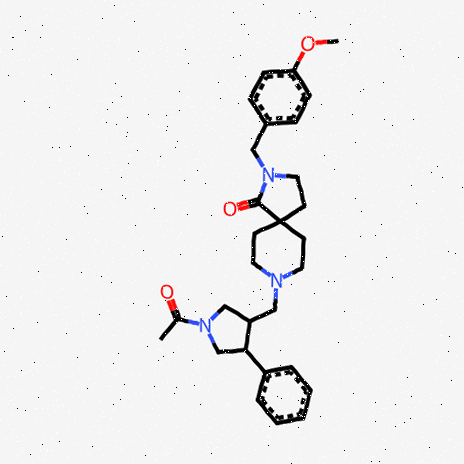 COc1ccc(CN2CCC3(CCN(CC4CN(C(C)=O)CC4c4ccccc4)CC3)C2=O)cc1